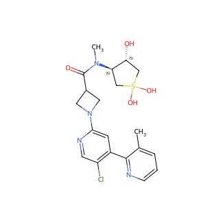 Cc1cccnc1-c1cc(N2CC(C(=O)N(C)[C@@H]3CS(O)(O)C[C@H]3O)C2)ncc1Cl